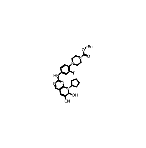 CC(C)(C)OC(=O)N1CCN(c2ccc(Nc3ncc4c(n3)N(C3CCCC3)C(O)C(C#N)=C4)cc2F)CC1